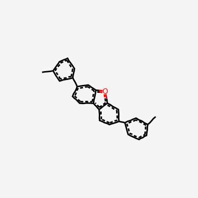 Cc1cccc(-c2ccc3c(c2)oc2cc(-c4cccc(C)c4)ccc23)c1